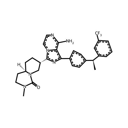 C[C@@H](c1ccc(-c2nc([C@H]3CC[C@@H]4CCN(C)C(=O)N4C3)n3ccnc(N)c23)cc1)c1cccc(C(F)(F)F)c1